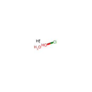 O.OCl.[Hf]